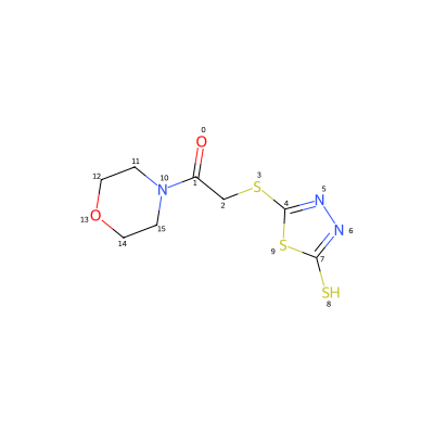 O=C(CSc1nnc(S)s1)N1CCOCC1